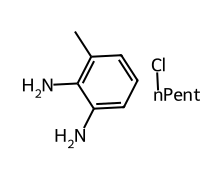 CCCCCCl.Cc1cccc(N)c1N